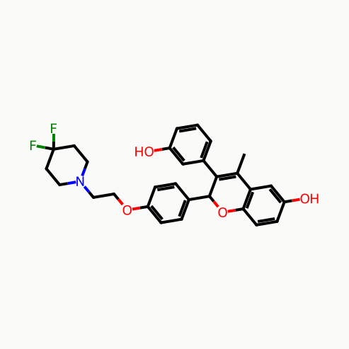 CC1=C(c2cccc(O)c2)C(c2ccc(OCCN3CCC(F)(F)CC3)cc2)Oc2ccc(O)cc21